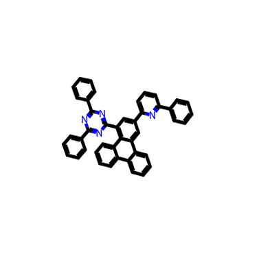 c1ccc(-c2cccc(-c3cc(-c4nc(-c5ccccc5)nc(-c5ccccc5)n4)c4c5ccccc5c5ccccc5c4c3)n2)cc1